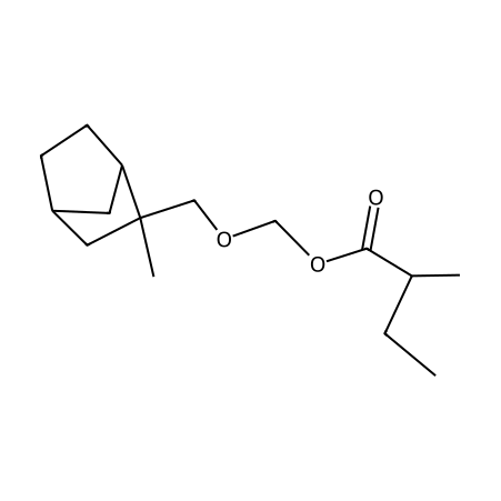 CCC(C)C(=O)OCOCC1(C)CC2CCC1C2